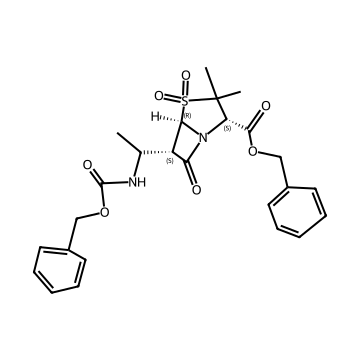 CC(NC(=O)OCc1ccccc1)[C@H]1C(=O)N2[C@@H](C(=O)OCc3ccccc3)C(C)(C)S(=O)(=O)[C@H]12